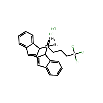 C[CH2][Zr](=[SiH2])([CH2]CC[Si](Cl)(Cl)Cl)([CH]1C(C)=Cc2ccccc21)[CH]1C(C)=Cc2ccccc21.Cl.Cl